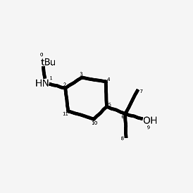 CC(C)(C)NC1CCC(C(C)(C)O)CC1